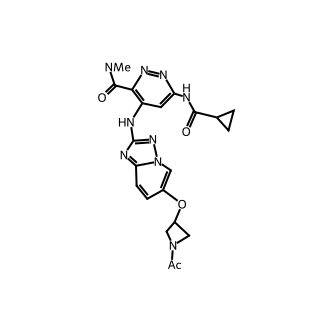 CNC(=O)c1nnc(NC(=O)C2CC2)cc1Nc1nc2ccc(OC3CN(C(C)=O)C3)cn2n1